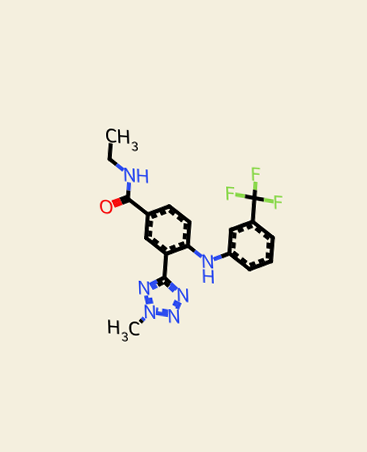 CCNC(=O)c1ccc(Nc2cccc(C(F)(F)F)c2)c(-c2nnn(C)n2)c1